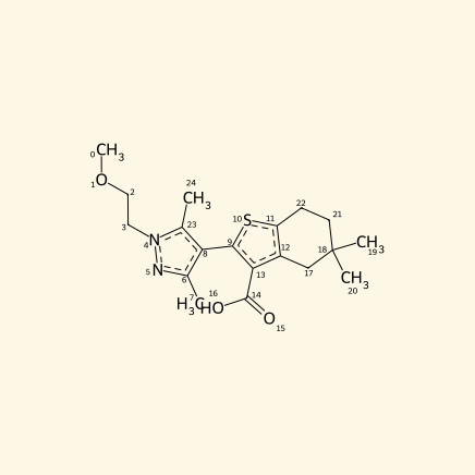 COCCn1nc(C)c(-c2sc3c(c2C(=O)O)CC(C)(C)CC3)c1C